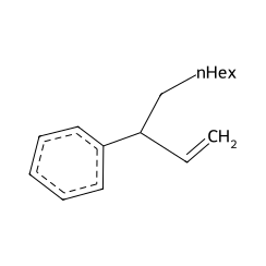 C=CC(CCCCCCC)c1ccccc1